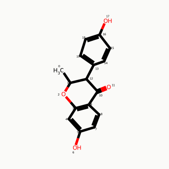 CC1Oc2cc(O)ccc2C(=O)C1c1ccc(O)cc1